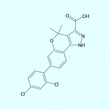 CC1(C)Oc2cc(-c3ccc(Cl)cc3Cl)ccc2-c2[nH]nc(C(=O)O)c21